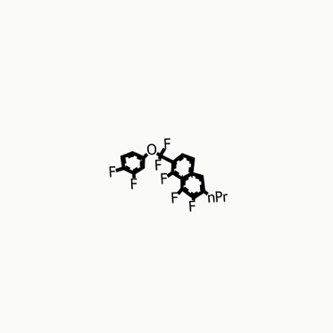 CCCc1cc2ccc(C(F)(F)Oc3ccc(F)c(F)c3)c(F)c2c(F)c1F